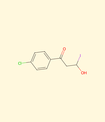 O=C(CC(O)I)c1ccc(Cl)cc1